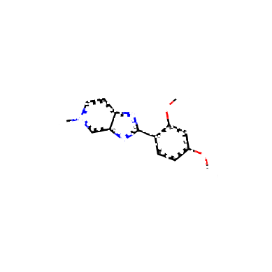 COc1ccc(-c2nc3ccn(C)cc-3n2)c(OC)c1